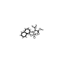 COC(=O)C(NP(=O)(Cl)Oc1cccc2ccccc12)C(C)C